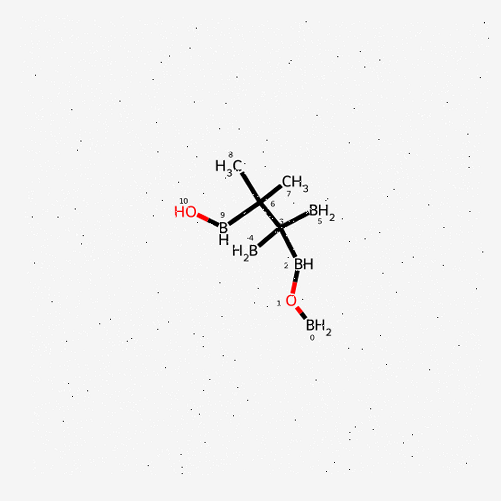 BOBC(B)(B)C(C)(C)BO